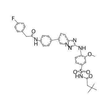 COc1cc(S(=O)(=O)NC(=O)CC(C)(C)C)ccc1Nc1nc2ccc(-c3ccc(NC(=O)Cc4ccc(F)cc4)cc3)cn2n1